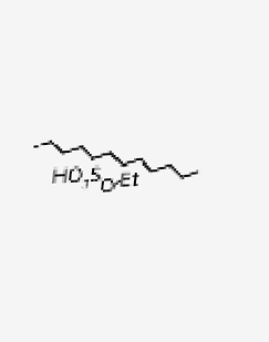 CCCCCCCCCCCC.CCOS(=O)(=O)O